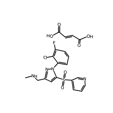 CNCc1cc(S(=O)(=O)c2cccnc2)n(-c2cccc(F)c2Cl)n1.O=C(O)C=CC(=O)O